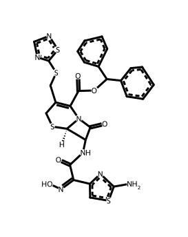 Nc1nc(/C(=N/O)C(=O)NC2C(=O)N3C(C(=O)OC(c4ccccc4)c4ccccc4)=C(CSc4ncns4)CS[C@H]23)cs1